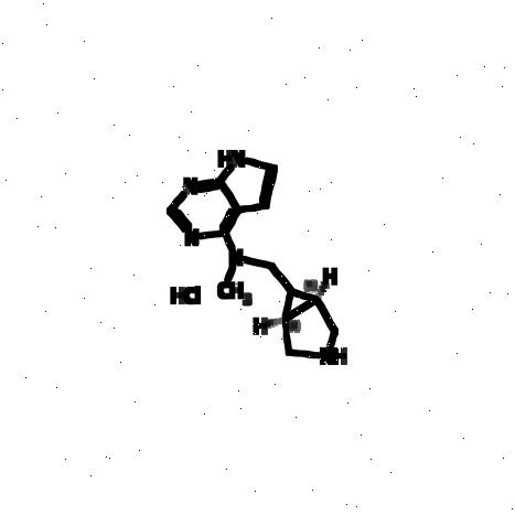 CN(CC1[C@H]2CNC[C@@H]12)c1ncnc2[nH]ccc12.Cl